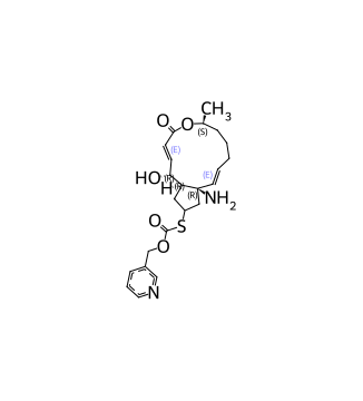 C[C@H]1CCC/C=C/[C@]2(N)CC(SC(=O)OCc3cccnc3)C[C@H]2[C@H](O)/C=C/C(=O)O1